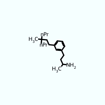 CCCC(C)(CCC)CCc1cccc(CCC(C)N)c1